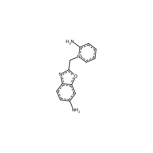 Nc1ccc2nc(C[n+]3ccccc3N)oc2c1